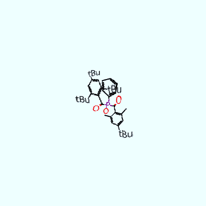 Cc1cc(C(C)(C)C)cc(C)c1C(=O)P(=O)(C(=O)c1c(C(C)(C)C)cc(C(C)(C)C)cc1C(C)(C)C)c1ccccc1